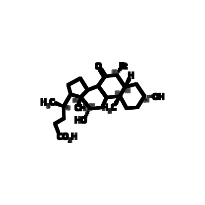 CC[C@H]1C(=O)C2C3CCC([C@H](C)CCC(=O)O)[C@@]3(C)[C@@H](O)CC2[C@@]2(C)CC[C@@H](O)C[C@@H]12